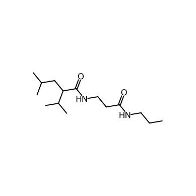 CCCNC(=O)CCNC(=O)C(CC(C)C)C(C)C